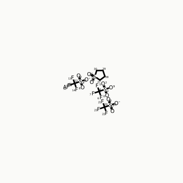 O=S(=O)([O-])C(F)(F)F.O=S(=O)([O-])C(F)(F)F.O=S(=O)([O-])C(F)(F)F.O=S1(=O)CCCC1.[Al+3]